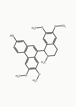 COc1cc2c(cc1OC)C(c1cc3cc(O)ccc3c3cc(OC)c(OC)cc13)N(C)CC2